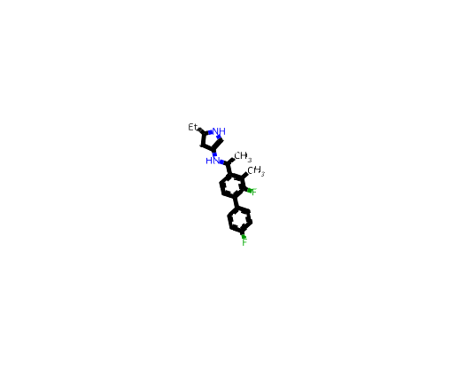 CCC1CC(NC(C)c2ccc(-c3ccc(F)cc3)c(F)c2C)=CN1